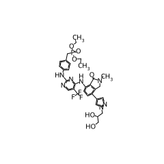 CCOP(=O)(Cc1ccc(Nc2ncc(C(F)(F)F)c(Nc3ccc(-c4cnn(C[C@H](O)CO)c4)c4c3C(=O)N(C)C4)n2)cc1)OCC